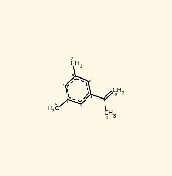 C=C(C)c1[c]c(C)cc(C)c1